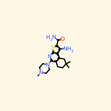 CN1CCN(c2nc3sc(C(N)=O)c(N)c3c3c2CCC(C)(C)C3)CC1